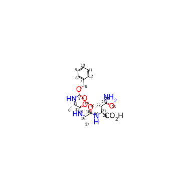 C[C@H](NC(=O)OCc1ccccc1)C(=O)N[C@@H](C)C(=O)NC(CC(N)=O)C(=O)O